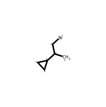 CC(CBr)C1CC1